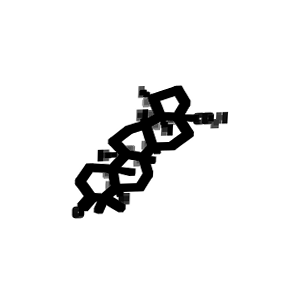 CC1(C)C(=O)CC[C@]2(C)[C@H]3CC[C@@H]4[C@H]5[C@H](I)CC[C@]5(C(=O)O)CC[C@@]4(C)[C@]3(C)CC[C@@H]12